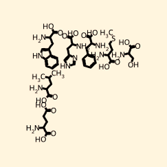 CC(C)CC(N)C(=O)O.CSCCC(N)C(=O)O.NC(CCC(=O)O)C(=O)O.NC(CO)C(=O)O.NC(Cc1c[nH]c2ccccc12)C(=O)O.NC(Cc1c[nH]cn1)C(=O)O.NC(Cc1ccccc1)C(=O)O